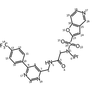 CC(C)N(CC(=O)NCc1cc(-c2ccc(C(F)(F)F)cc2)ncn1)S(=O)(=O)c1cc2cnccc2o1